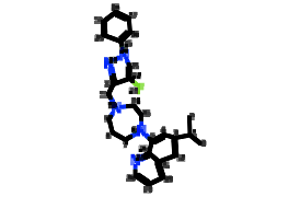 CC(C)c1cc(N2CCCN(Cc3nn(-c4ccccc4)cc3F)CC2)c2ncccc2c1